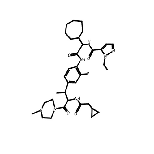 CCn1nccc1C(=O)NC(C(=O)Nc1ccc(C(C)C(NC(=O)CC2CC2)C(=O)N2CCN(C)CC2)cc1F)C1CCCCCC1